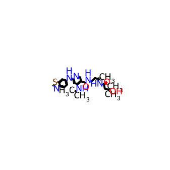 CC(C)Nc1cc(Nc2ccc3ncsc3c2)ncc1C(=O)NCC[C@H](C)NC(=O)CC(C)(C)O